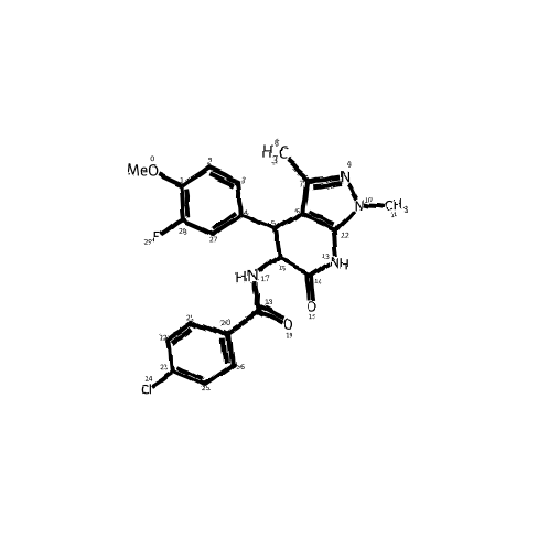 COc1ccc(C2c3c(C)nn(C)c3NC(=O)C2NC(=O)c2ccc(Cl)cc2)cc1F